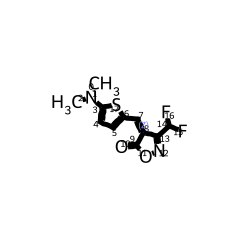 CN(C)c1ccc(/C=C2\C(=O)ON=C2C(F)F)s1